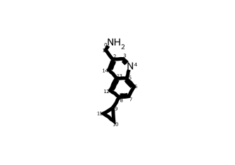 NCc1cnc2ccc(C3CC3)cc2c1